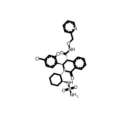 NS(=O)(=O)N[C@H]1CCCC[C@@H]1N1C(=O)c2ccccc2[C@@H](C(=O)NOCc2ccccn2)[C@@H]1c1ccc(Cl)cc1Cl